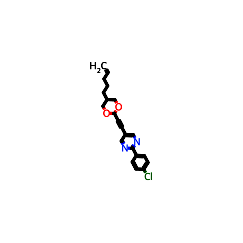 C=CCCCC1COC(C#Cc2cnc(-c3ccc(Cl)cc3)nc2)OC1